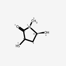 CN1C(=O)C(S)C[C@@H]1O